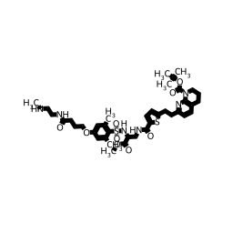 CNCCNC(=O)CCCOc1cc(C)c(S(=O)(=O)NC(CNC(=O)c2ccc(CCc3ccc4c(n3)N(C(=O)OC(C)(C)C)CCC4)s2)C(=O)OC)c(C)c1